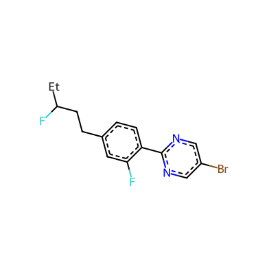 CCC(F)CCc1ccc(-c2ncc(Br)cn2)c(F)c1